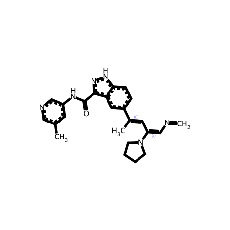 C=N/C=C(\C=C(/C)c1ccc2[nH]nc(C(=O)Nc3cncc(C)c3)c2c1)N1CCCC1